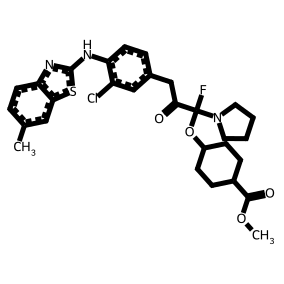 COC(=O)C1CCC(OC(F)(C(=O)Cc2ccc(Nc3nc4ccc(C)cc4s3)c(Cl)c2)N2CCCC2)CC1